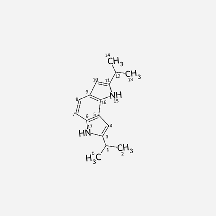 CC(C)c1cc2c(ccc3cc(C(C)C)[nH]c32)[nH]1